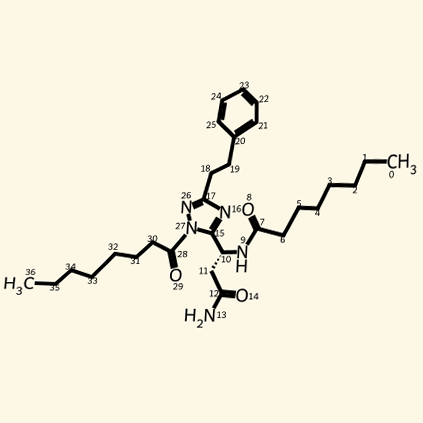 CCCCCCCC(=O)N[C@H](CC(N)=O)c1nc(CCc2ccccc2)nn1C(=O)CCCCCCC